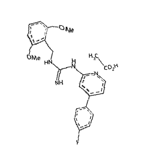 CC(=O)O.COc1cccc(OC)c1CNC(=N)Nc1cc(-c2ccc(F)cc2)ccn1